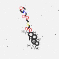 CC(=O)[C@H]1CC[C@H]2[C@@H]3CC[C@H]4C[C@](C)(OC(=O)CSCCOC(=O)CN5CCOCC5)CC[C@]4(C)[C@H]3CC[C@]12C